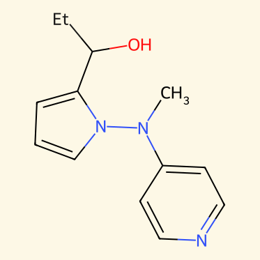 CCC(O)c1cccn1N(C)c1ccncc1